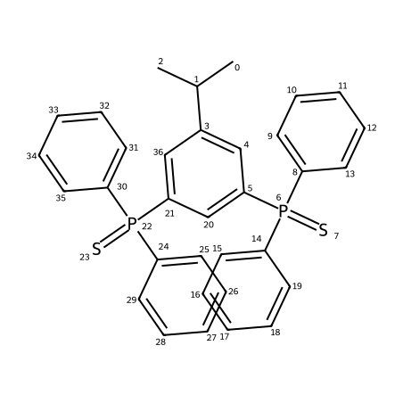 CC(C)c1cc(P(=S)(c2ccccc2)c2ccccc2)cc(P(=S)(c2ccccc2)c2ccccc2)c1